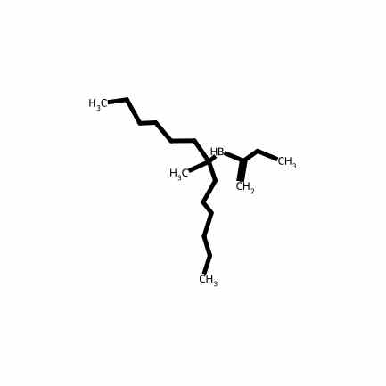 C=C(BC(C)(CCCCCC)CCCCCC)CC